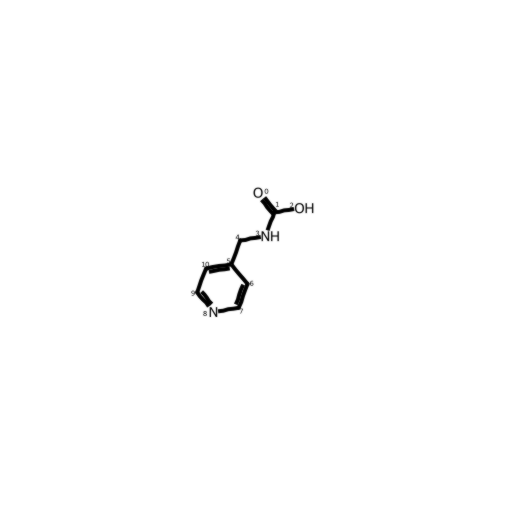 O=C(O)NCc1ccncc1